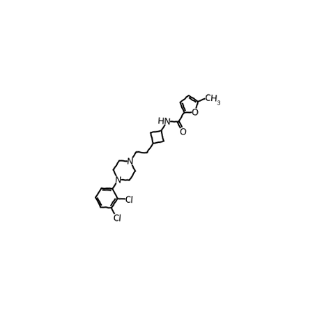 Cc1ccc(C(=O)NC2CC(CCN3CCN(c4cccc(Cl)c4Cl)CC3)C2)o1